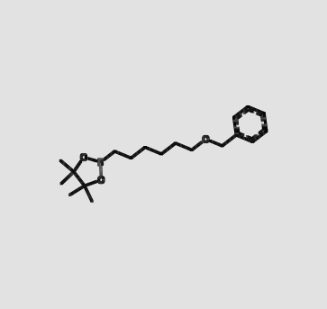 CC1(C)OB(CCCCCCOCc2ccccc2)OC1(C)C